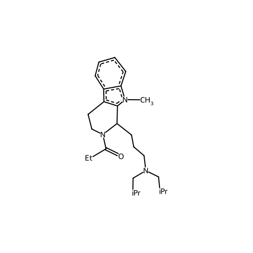 CCC(=O)N1CCc2c(n(C)c3ccccc23)C1CCCN(CC(C)C)CC(C)C